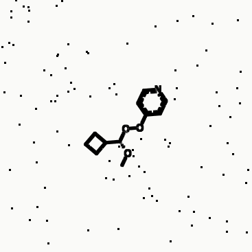 CO[C@@H](OOc1ccncc1)C1CCC1